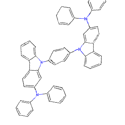 C1=CC(N(c2ccccc2)c2ccc3c4ccccc4n(-c4ccc(-n5c6ccccc6c6ccc(N(c7ccccc7)c7ccccc7)cc65)cc4)c3c2)=CCC1